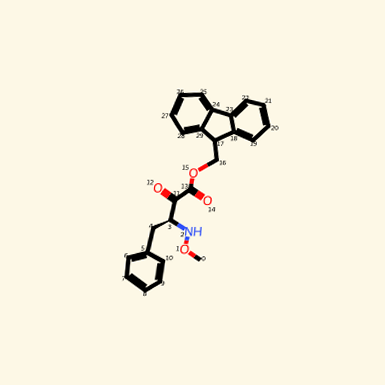 CON[C@@H](Cc1ccccc1)C(=O)C(=O)OCC1c2ccccc2-c2ccccc21